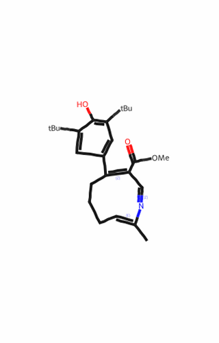 COC(=O)C1=C(\c2cc(C(C)(C)C)c(O)c(C(C)(C)C)c2)CCC/C=C(C)/N=C\1